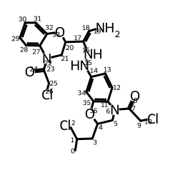 CC(Cl)CC1CN(C(=O)CCl)c2ccc(NN/C(=C\N)C3CN(C(=O)CCl)c4ccccc4O3)cc2O1